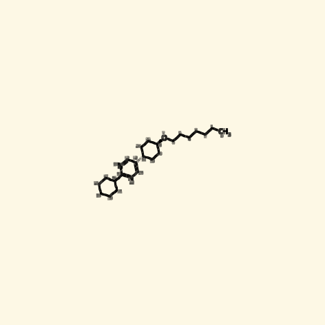 CCCCCCCO[C@H]1CC[C@H](c2cnc(C3CCCCC3)nc2)CC1